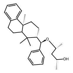 C[C@H](C[C@@H](C)O)O[C@@H](c1ccccc1)[C@H]1CC[C@]2(C)c3ccccc3CCC2C1(C)C